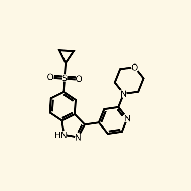 O=S(=O)(c1ccc2[nH]nc(-c3ccnc(N4CCOCC4)c3)c2c1)C1CC1